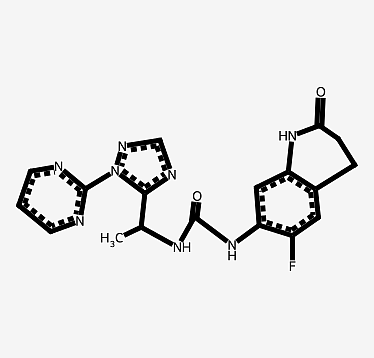 CC(NC(=O)Nc1cc2c(cc1F)CCC(=O)N2)c1ncnn1-c1ncccn1